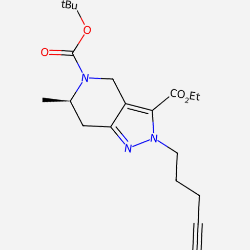 C#CCCCn1nc2c(c1C(=O)OCC)CN(C(=O)OC(C)(C)C)[C@H](C)C2